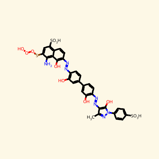 Cc1nn(-c2ccc(S(=O)(=O)O)cc2)c(O)c1N=Nc1ccc(-c2ccc(N=Nc3ccc4c(S(=O)(=O)O)cc(SOOO)c(N)c4c3O)c(O)c2)cc1O